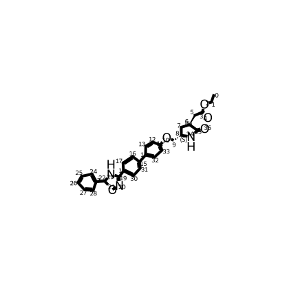 CCOC(=O)C[C@@H]1C[C@@H](COc2ccc(-c3ccc(C4=NOC(c5ccccc5)N4)cc3)cc2)NC1=O